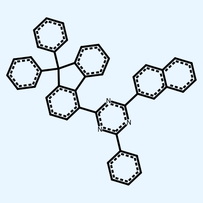 c1ccc(-c2nc(-c3ccc4ccccc4c3)nc(-c3cccc4c3-c3ccccc3C4(c3ccccc3)c3ccccc3)n2)cc1